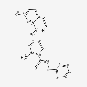 Cc1cc(Nc2nccc3ccc(Cl)cc23)ccc1C(=O)NCc1ccccc1